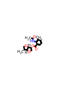 CC(=O)Nc1c(C)cccc1C(=O)O[C@@H]1CO[C@@H]2C(C)CO[C@@H]21